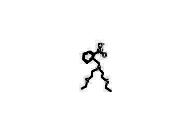 CCSCCN(CCSCC)Cc1ccccc1[N+](=O)[O-]